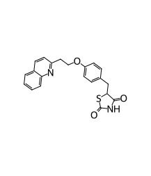 O=C1NC(=O)C(Cc2ccc(OCCc3ccc4ccccc4n3)cc2)S1